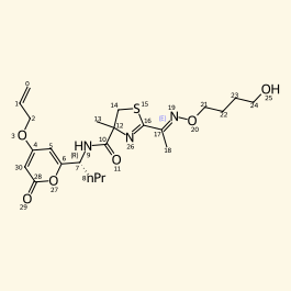 C=CCOc1cc([C@@H](CCC)NC(=O)C2(C)CSC(/C(C)=N/OCCCCO)=N2)oc(=O)c1